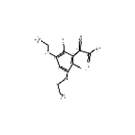 CCOc1cc(OCC)c(F)c(C(=O)C(=O)O)c1F